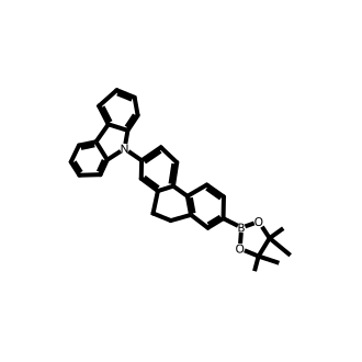 CC1(C)OB(c2ccc3c(c2)CCc2cc(-n4c5ccccc5c5ccccc54)ccc2-3)OC1(C)C